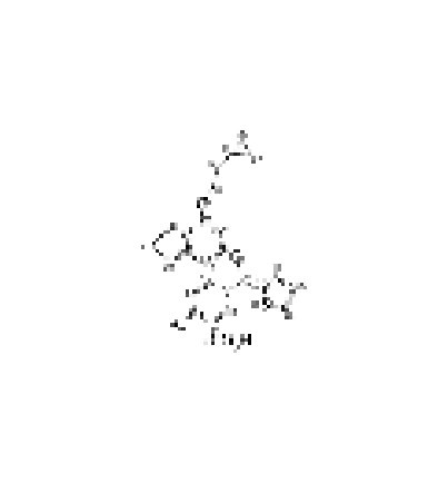 O=C(O)c1cn2c(cc1=O)-c1c(cc(OCCC3CC3)c3c1CCO3)OC2c1nccs1